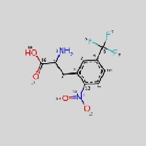 NC(Cc1cc(C(F)(F)F)ccc1[N+](=O)[O-])C(=O)O